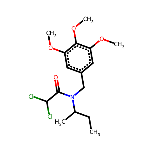 CCC(C)N(Cc1cc(OC)c(OC)c(OC)c1)C(=O)C(Cl)Cl